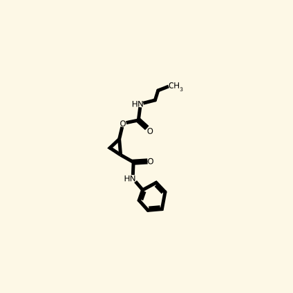 CCCNC(=O)OC1CC1C(=O)Nc1ccccc1